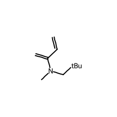 C=CC(=C)N(C)CC(C)(C)C